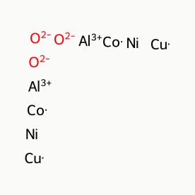 [Al+3].[Al+3].[Co].[Co].[Cu].[Cu].[Ni].[Ni].[O-2].[O-2].[O-2]